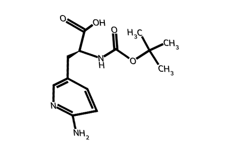 CC(C)(C)OC(=O)N[C@@H](Cc1ccc(N)nc1)C(=O)O